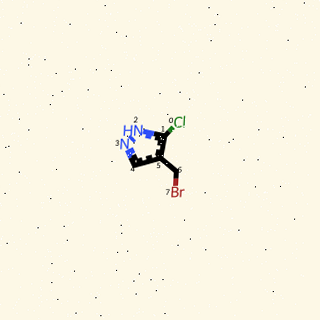 Clc1[nH]ncc1CBr